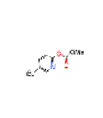 CCCCc1ccc(OC(=O)OC)nc1